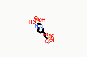 COC(CCc1ccc2nc(P(=O)(O)O)cn2c1)P(=O)(O)O